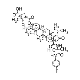 CC(C)C1=C2[C@H]3CC[C@@H]4[C@@]5(C)CC[C@H](OC(=O)[C@H]6C[C@@H](C(=O)O)C6(C)C)C(C)(C)[C@@H]5CC[C@@]4(C)[C@]3(C)CC[C@@]2(C(=O)NC(C)(C)C(=O)Nc2ccc(F)cc2)CC1=O